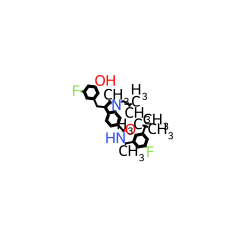 Cc1c(Cc2cc(O)cc(F)c2)c2ccc(C(=O)N[C@@H](C)c3cc(F)cc(C(C)(C)C)c3)cc2n1CC(C)C